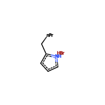 Br.CCCCc1ccc[nH]1